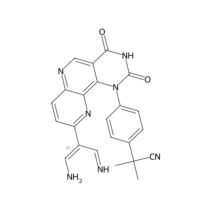 CC(C)(C#N)c1ccc(-n2c(=O)[nH]c(=O)c3cnc4ccc(/C(C=N)=C/N)nc4c32)cc1